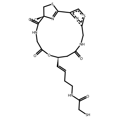 C[C@@]12CSC(=N1)c1csc(n1)CNC(=O)C[C@@H](/C=C/CCNC(=O)CS)OC(=O)CNC2=O